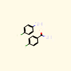 NC(=O)c1ccc(Cl)cc1.Nc1ccc(Cl)cc1